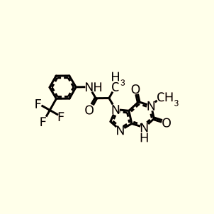 CC(C(=O)Nc1cccc(C(F)(F)F)c1)n1cnc2[nH]c(=O)n(C)c(=O)c21